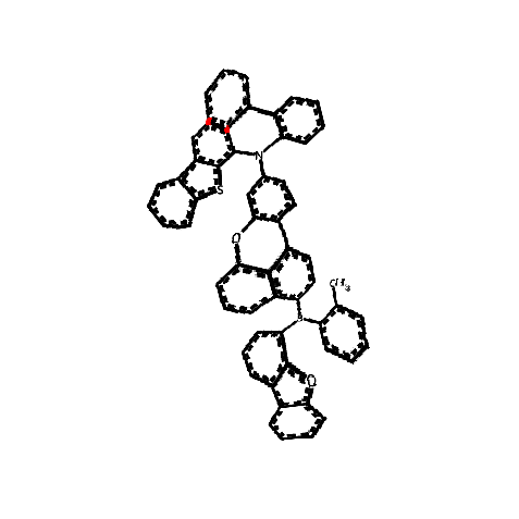 Cc1ccccc1B(c1ccc2c3c(cccc13)Oc1cc(N(c3ccccc3-c3ccccc3)c3cccc4c3sc3ccccc34)ccc1-2)c1cccc2c1oc1ccccc12